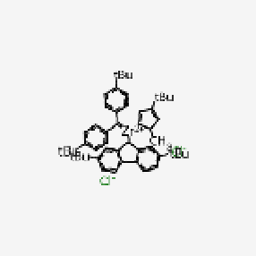 CC1C=C(C(C)(C)C)C=[C]1[Zr+2](=[C](c1ccc(C(C)(C)C)cc1)c1ccc(C(C)(C)C)cc1)[CH]1c2cc(C(C)(C)C)ccc2-c2ccc(C(C)(C)C)cc21.[Cl-].[Cl-]